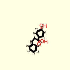 Oc1ccc(C2(O)CCc3ccccc3O2)cc1